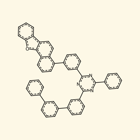 c1ccc(-c2cccc(-c3cccc(-c4nc(-c5ccccc5)nc(-c5cccc(-c6cccc7c6ccc6c8ccccc8oc76)c5)n4)c3)c2)cc1